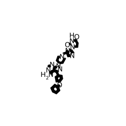 Nc1ncnc2c1c(-c1ccc(Oc3ccccc3)cc1)nn2C1CCN(Cc2cncc(N3CCC(=O)NC3=O)n2)CC1